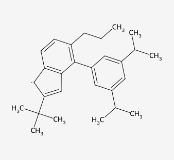 CCCc1ccc2c(c1-c1cc(C(C)C)cc(C(C)C)c1)C=C(C(C)(C)C)[CH]2